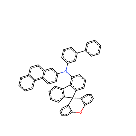 c1ccc(-c2cccc(N(c3ccc4c(ccc5ccccc54)c3)c3cccc4c3-c3ccccc3C43c4ccccc4Oc4ccccc43)c2)cc1